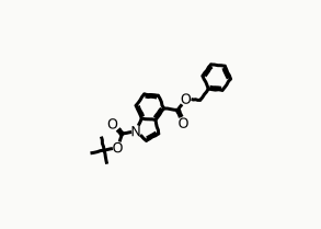 CC(C)(C)OC(=O)n1ccc2c(C(=O)OCc3ccccc3)cccc21